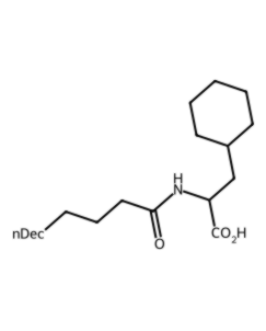 CCCCCCCCCCCCCC(=O)NC(CC1CCCCC1)C(=O)O